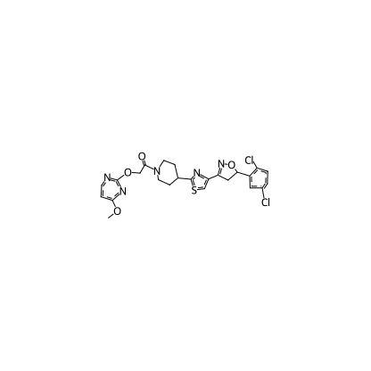 COc1ccnc(OCC(=O)N2CCC(c3nc(C4=NOC(c5cc(Cl)ccc5Cl)C4)cs3)CC2)n1